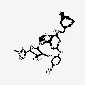 Cn1nnc(C2OC(n3cnc4c(NCc5cccc(I)c5)nc(NC5CCC(N)CC5)nc43)C(O)C2O)n1